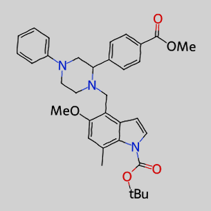 COC(=O)c1ccc(C2CN(c3ccccc3)CCN2Cc2c(OC)cc(C)c3c2ccn3C(=O)OC(C)(C)C)cc1